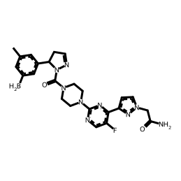 Bc1cc(C)cc(C2CC=NN2C(=O)N2CCN(c3ncc(F)c(-c4ccn(CC(N)=O)n4)n3)CC2)c1